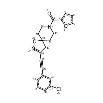 O=C(c1ccco1)N1CCC2(CC1)CC(C#Cc1cccc(Cl)c1)=NO2